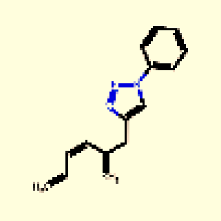 C=C/C=C\C(=C)Cc1cn(-c2ccccc2)nn1